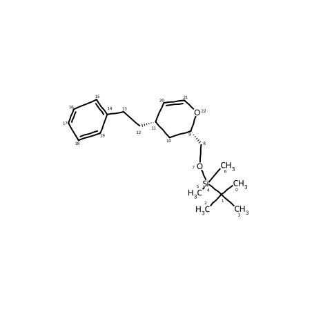 CC(C)(C)[Si](C)(C)OC[C@@H]1C[C@H](CCc2ccccc2)C=CO1